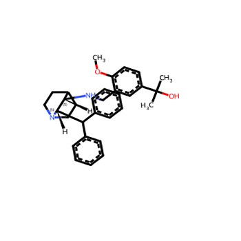 COc1ccc(C(C)(C)O)cc1CN[C@H]1C2CCN(CC2)[C@H]1C(c1ccccc1)c1ccccc1